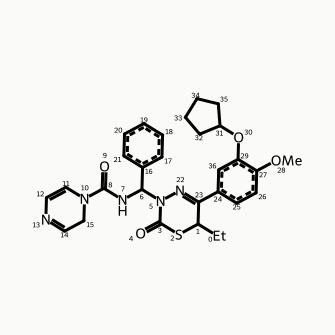 CCC1SC(=O)N(C(NC(=O)N2C=CN=CC2)c2ccccc2)N=C1c1ccc(OC)c(OC2CCCC2)c1